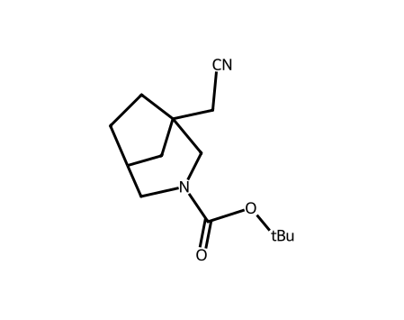 CC(C)(C)OC(=O)N1CC2CCC(CC#N)(C2)C1